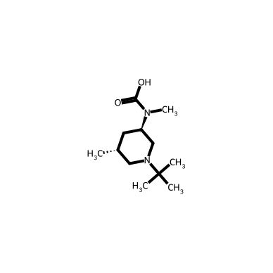 C[C@@H]1C[C@@H](N(C)C(=O)O)CN(C(C)(C)C)C1